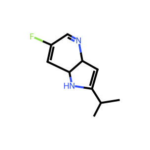 CC(C)C1=CC2N=CC(F)=CC2N1